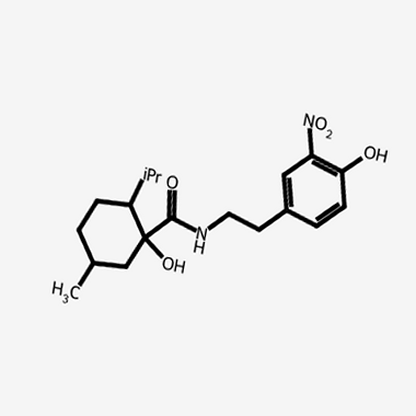 CC1CCC(C(C)C)C(O)(C(=O)NCCc2ccc(O)c([N+](=O)[O-])c2)C1